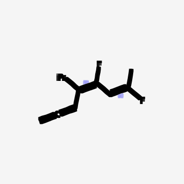 C=C=C/C(=C(F)\C=C(/C)F)C(C)C